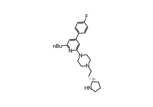 CCCCc1cc(-c2ccc(F)cc2)cc(N2CCN(CC[C@@H]3CCCN3)CC2)n1